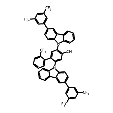 N#Cc1cc(-n2c3ccccc3c3cc(-c4cc(C(F)(F)F)cc(C(F)(F)F)c4)ccc32)c(-c2ccccc2C(F)(F)F)cc1-n1c2ccccc2c2cc(-c3cc(C(F)(F)F)cc(C(F)(F)F)c3)ccc21